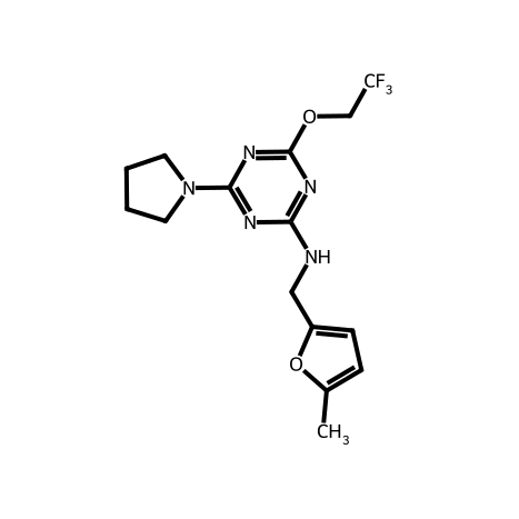 Cc1ccc(CNc2nc(OCC(F)(F)F)nc(N3CCCC3)n2)o1